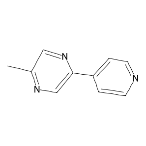 Cc1cnc(-c2ccncc2)cn1